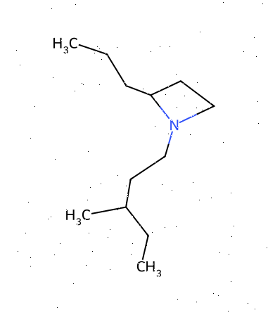 CCCC1CCN1CCC(C)CC